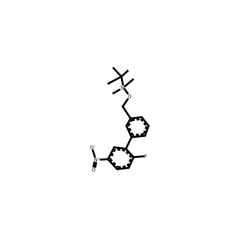 CC(C)(C)[Si](C)(C)OCc1cccc(-c2cc([N+](=O)[O-])ccc2F)c1